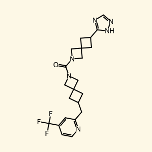 O=C(N1CC2(CC(Cc3cc(C(F)(F)F)ccn3)C2)C1)N1CC2(CC(c3ncn[nH]3)C2)C1